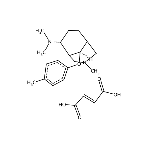 Cc1ccc(O[C@@H]2C3CC[C@@H](N(C)C)C2CN(C)C3)cc1.O=C(O)/C=C/C(=O)O